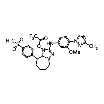 COc1cc(NC2=NN3CCCCC(c4ccc(S(C)(=O)=O)cc4)C3N2OC(=O)C(F)(F)F)ccc1-n1cnc(C)n1